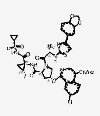 COc1cnc(O[C@@H]2C[C@@H](C(=O)N[C@]3(C(=O)NS(=O)(=O)C4CC4)C[C@H]3I)N(C(=O)[C@@H](Nc3nc(-c4ccc5c(c4)OCO5)cs3)C(C)(C)C)C2)c2cc(Cl)ccc12